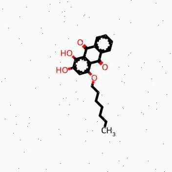 CCCCCCCOc1cc(O)c(O)c2c1C(=O)c1ccccc1C2=O